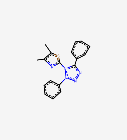 Cc1nc(-[n+]2c(-c3ccccc3)nnn2-c2ccccc2)sc1C